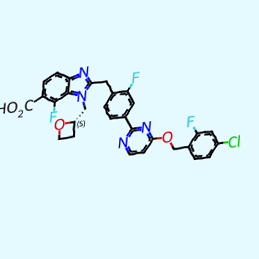 O=C(O)c1ccc2nc(Cc3ccc(-c4nccc(OCc5ccc(Cl)cc5F)n4)cc3F)n(C[C@@H]3CCO3)c2c1F